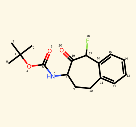 CC(C)(C)OC(=O)NC1CCc2ccccc2C(F)C1=O